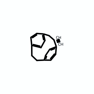 C#C.c1cc2ccc1CCc1ccc(cc1)CC2